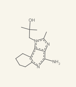 Cc1nc2c(N)nc3c(c2n1CC(C)(C)O)CCCC3